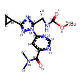 C[C@H](NC(=O)OC(C)(C)C)c1nc(C2CC2)nn1-c1cc(C(=O)N(C)C)ncn1